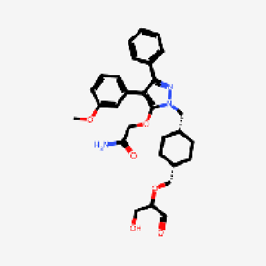 COc1cccc(-c2c(-c3ccccc3)nn(C[C@H]3CC[C@@H](COC(C=O)CO)CC3)c2OCC(N)=O)c1